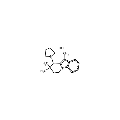 Cc1c2n(c3ccccc13)CCC(C)(C)C2N1CCCC1.Cl